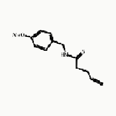 C=CCCC(=S)NCc1ccc(OC)cc1